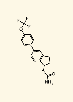 NC(=O)OC1CCc2cc(-c3ccc(OC(F)(F)F)cc3)ccc21